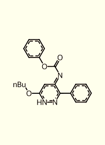 CCCCOc1cc(=NC(=O)Oc2ccccc2)c(-c2ccccc2)n[nH]1